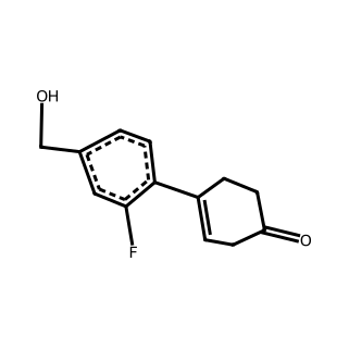 O=C1CC=C(c2ccc(CO)cc2F)CC1